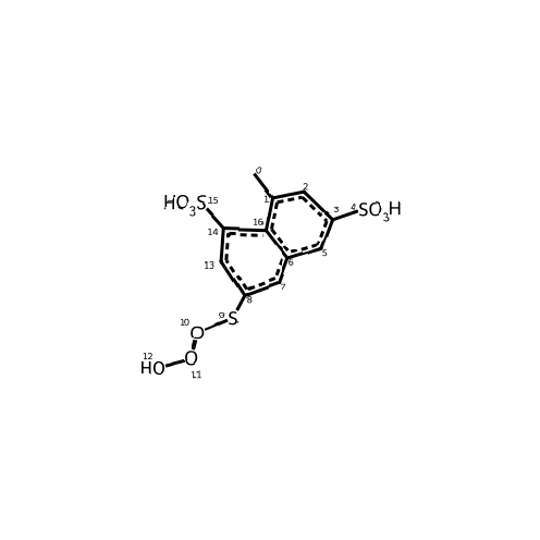 Cc1cc(S(=O)(=O)O)cc2cc(SOOO)cc(S(=O)(=O)O)c12